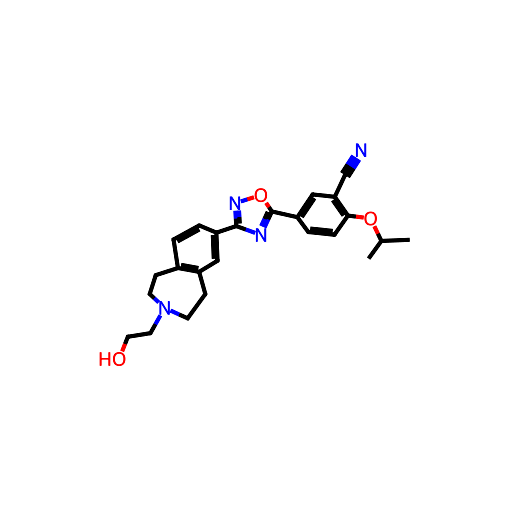 CC(C)Oc1ccc(-c2nc(-c3ccc4c(c3)CCN(CCO)CC4)no2)cc1C#N